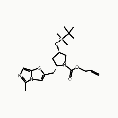 C=CCOC(=O)N1C[C@H](O[Si](C)(C)C(C)(C)C)C[C@H]1Cc1cn2c(C)ncc2s1